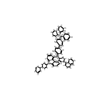 c1ccc(-c2ccc(-n3c4ccccc4c4c(N(c5ccc(-c6ccc([Si](c7ccccc7)(c7ccccc7)c7ccccc7)cc6)cc5)c5ccc(-c6cccc7ccccc67)cc5)cccc43)cc2)cc1